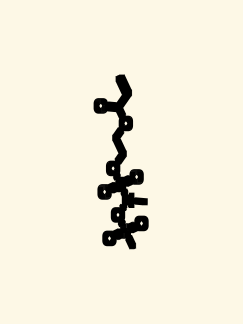 C=CC(=O)OCCOS(=O)(=O)N(C)OS(C)(=O)=O